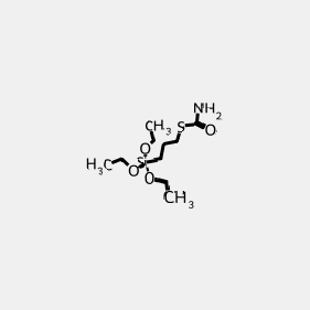 CCO[Si](CCCSC(N)=O)(OCC)OCC